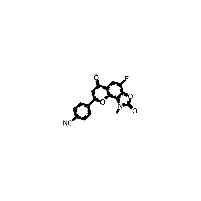 Cn1c(=O)oc2c(F)cc3c(=O)cc(-c4ccc(C#N)cc4)oc3c21